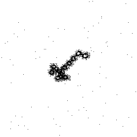 c1ccc(-c2cccc(-c3ccc(-c4ccc(-c5ccc(-c6nc(-n7c8ccccc8c8ccccc87)nc(-n7c8ccccc8c8ccccc87)n6)cc5)cc4)cc3)c2)cc1